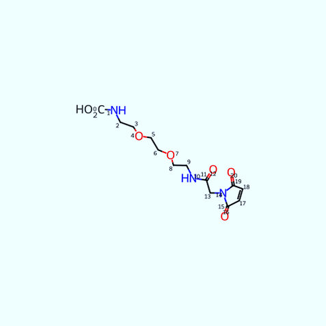 O=C(O)NCCOCCOCCNC(=O)CN1C(=O)C=CC1=O